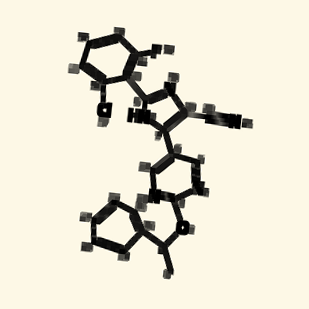 CC(Oc1ncc(-c2[nH]c(-c3c(F)cccc3Cl)nc2C#N)cn1)c1ccccc1